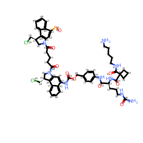 NCCCCCNC(=O)C1(C(=O)N[C@@H](CCCNC(N)=O)C(=O)Nc2ccc(COC(=O)Nc3cc4c(c5ccccc35)[C@H](CCl)CN4C(=O)CCCC(=O)N3C[C@@H](CCl)c4c3cc(P=O)c3ccccc43)cc2)CCC1